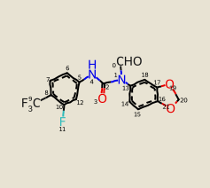 O=CN(C(=O)Nc1ccc(C(F)(F)F)c(F)c1)c1ccc2c(c1)OCO2